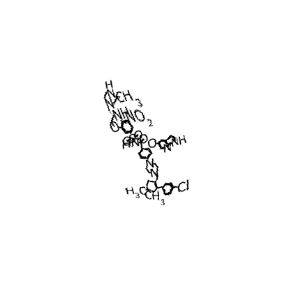 C[C@H]1CN(C[C@H]2COc3cc(S(=O)(=O)NC(=O)c4ccc(N5CCN(CC6=C(c7ccc(Cl)cc7)CC(C)(C)CC6)CC5)cc4Oc4cnc5[nH]ccc5c4)cc([N+](=O)[O-])c3N2)CCN1